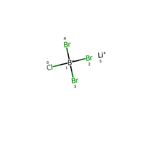 Cl[B-](Br)(Br)Br.[Li+]